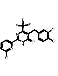 O=c1[nH]c(-c2cccc(Cl)n2)nc(C(F)(F)F)c1Cc1ccc(Cl)c(Cl)c1